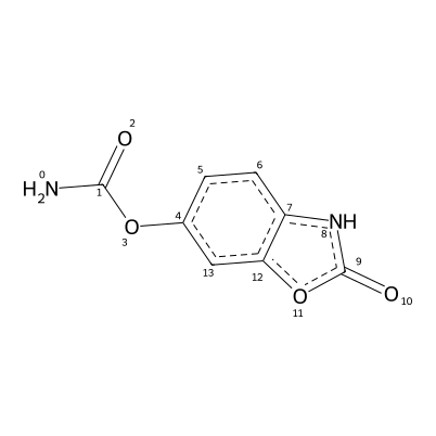 NC(=O)Oc1ccc2[nH]c(=O)oc2c1